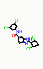 O=C(Nc1cc(Cl)cc(Cl)c1)c1ccc2nc(-c3c(Cl)cccc3Cl)[nH]c2c1